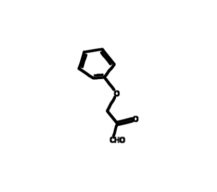 O=CC(=O)COc1ccccc1